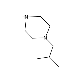 [CH2]C(C)CN1CCNCC1